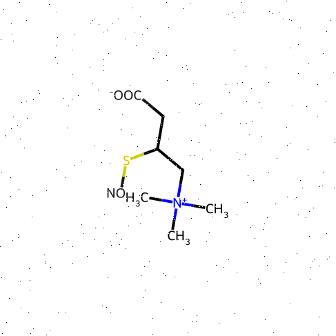 C[N+](C)(C)CC(CC(=O)[O-])SN=O